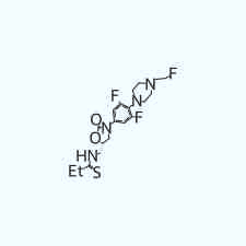 CCC(=S)NC[C@H]1CN(c2cc(F)c(N3CCN(CCF)CC3)c(F)c2)C(=O)O1